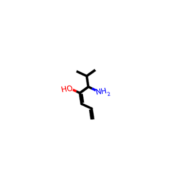 C=C/C=C(/O)C(N)C(C)C